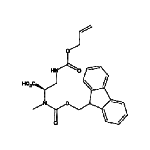 C=CCOC(=O)NC[C@H](C(=O)O)N(C)C(=O)OCC1c2ccccc2-c2ccccc21